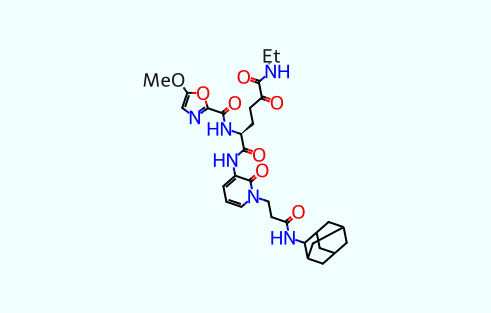 CCNC(=O)C(=O)CC[C@H](NC(=O)c1ncc(OC)o1)C(=O)Nc1cccn(CCC(=O)NC2C3CC4CC(C3)CC2C4)c1=O